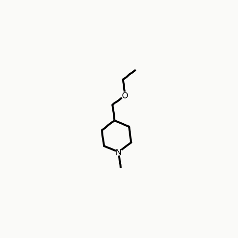 CCOCC1CCN(C)CC1